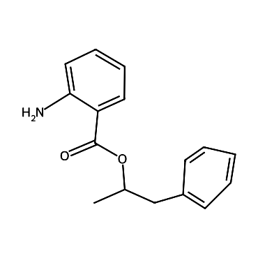 CC(Cc1ccccc1)OC(=O)c1ccccc1N